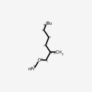 CCCOCC(C)CCCC(C)CC